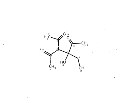 CC(=O)[C](C(C)=O)C(O)(CO)C(C)=O